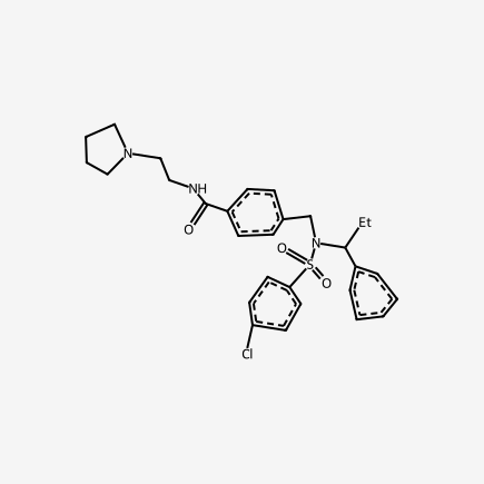 CCC(c1ccccc1)N(Cc1ccc(C(=O)NCCN2CCCC2)cc1)S(=O)(=O)c1ccc(Cl)cc1